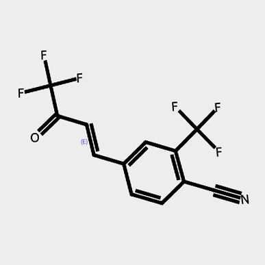 N#Cc1ccc(/C=C/C(=O)C(F)(F)F)cc1C(F)(F)F